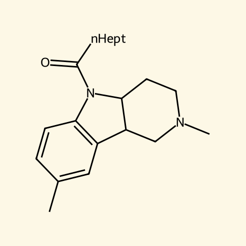 CCCCCCCC(=O)N1c2ccc(C)cc2C2CN(C)CCC21